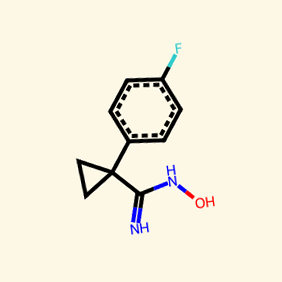 N=C(NO)C1(c2ccc(F)cc2)CC1